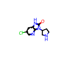 O=c1[nH]c2cc(Cl)cnc2n1C1CCNC1